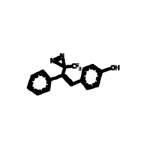 Oc1ccc(C=C(c2ccccc2)C2(C(F)(F)F)N=N2)cc1